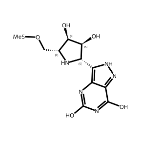 CSOC[C@H]1N[C@@H](c2[nH]nc3c(O)nc(O)nc23)[C@H](O)[C@@H]1O